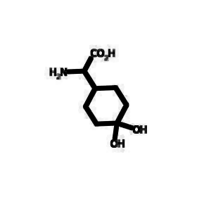 NC(C(=O)O)C1CCC(O)(O)CC1